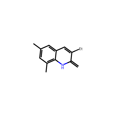 C=C1Nc2c(C)cc(C)cc2C=C1CC